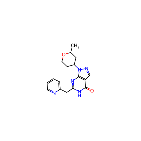 CC1CC(n2ncc3c(=O)[nH]c(Cc4ccccn4)nc32)CCO1